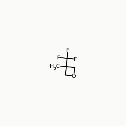 [CH2]C1(C(F)(F)F)COC1